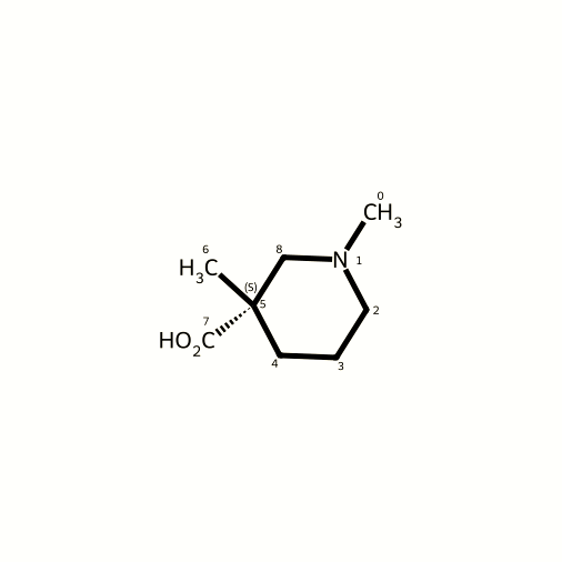 CN1CCC[C@](C)(C(=O)O)C1